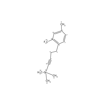 Cc1ccc(CCC#C[Si](C)(C)C)c(C(F)(F)F)c1